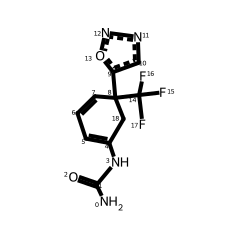 NC(=O)NC1=CC=CC(c2cnno2)(C(F)(F)F)C1